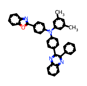 Cc1cc(C)cc(N(c2ccc(-c3nc4ccccc4o3)cc2)c2ccc(-c3nc4ccccc4nc3-c3ccccc3)cc2)c1